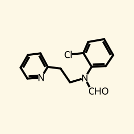 O=CN(CCc1ccccn1)c1ccccc1Cl